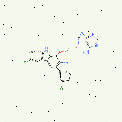 NC1=c2c(ncn2CCCOc2c3[nH]c4ccc(Cl)cc4c3cc3c2[nH]c2ccc(Cl)cc23)=NCN1